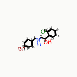 OC(CNCc1ccc(Br)cc1)c1ccccc1Cl